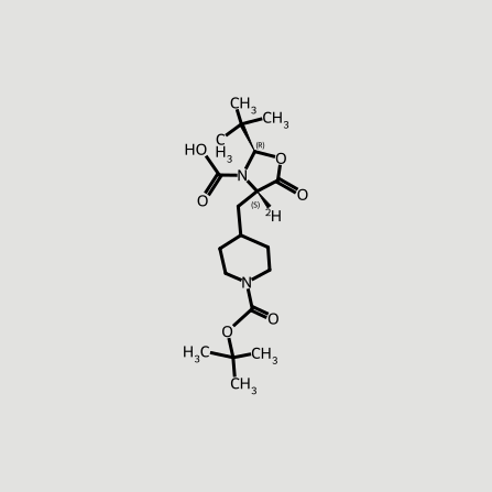 [2H][C@]1(CC2CCN(C(=O)OC(C)(C)C)CC2)C(=O)O[C@H](C(C)(C)C)N1C(=O)O